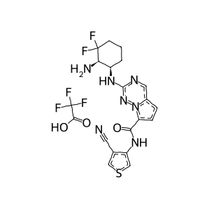 N#Cc1cscc1NC(=O)c1ccc2cnc(N[C@@H]3CCCC(F)(F)[C@@H]3N)nn12.O=C(O)C(F)(F)F